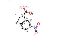 O=C(O)C1CCc2ccc([N+](=O)[O-])cc21